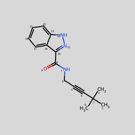 CC(C)(C)C#CCNC(=O)c1n[nH]c2ccccc12